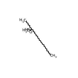 CCCCCCCCCCCCCCCCCCCCCCCCCC(CCCCCCCC)C(=O)NC